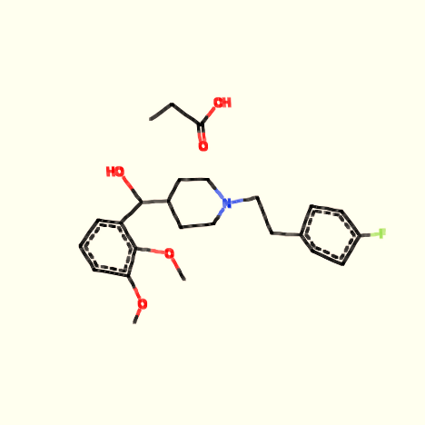 CCC(=O)O.COc1cccc(C(O)C2CCN(CCc3ccc(F)cc3)CC2)c1OC